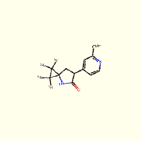 [2H]C1([2H])C([2H])([2H])C12CC(c1ccnc(OC)c1)C(=O)N2